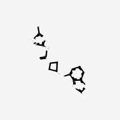 Cc1nnc(NC(=O)[C@H]2C[C@H](Oc3cccc4scnc34)C2)o1